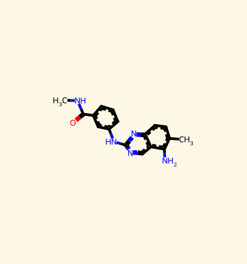 CNC(=O)c1cccc(Nc2ncc3c(N)c(C)ccc3n2)c1